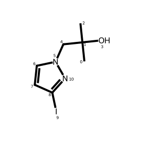 CC(C)(O)Cn1ccc(I)n1